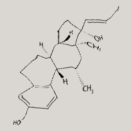 C[C@H]1C[C@@]2(C)[C@@H](CC[C@@]2(O)/C=C/I)[C@@H]2CCc3cc(O)ccc3[C@H]21